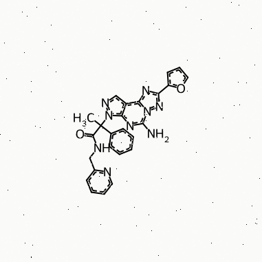 CC(C(=O)NCc1ccccn1)(c1ccccc1)n1ncc2c1nc(N)n1nc(-c3ccco3)nc21